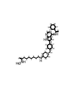 C=C(CCCCCCCNC1CCN(Cc2ccc(-c3cc4c(NC(=C)c5ccccc5)ncnc4[nH]3)cc2)CC1)NO